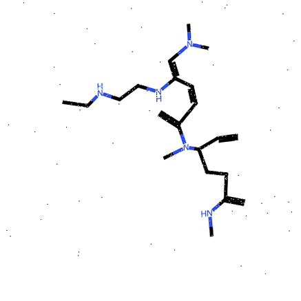 C=CC(CCC(=C)NC)N(C)C(=C)/C=C\C(=C/N(C)C)NCCNCC